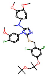 COc1cc(-n2c(N(C)c3ccc(OC)c(OC)c3)cnc2SCc2c(F)cc(OC(C)(C)COC(C)(C)C)cc2F)ccc1F